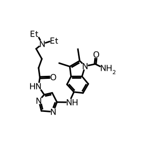 CCN(CC)CCCC(=O)Nc1cc(Nc2ccc3c(c2)c(C)c(C)n3C(N)=O)ncn1